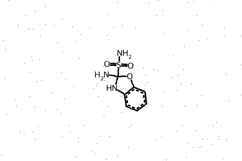 NC1(S(N)(=O)=O)Nc2ccccc2O1